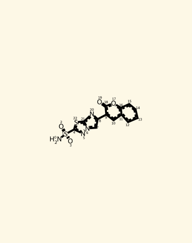 NS(=O)(=O)c1nn2cc(-c3cc4ccccc4oc3=O)nc2s1